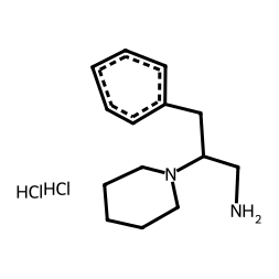 Cl.Cl.NCC(Cc1ccccc1)N1CCCCC1